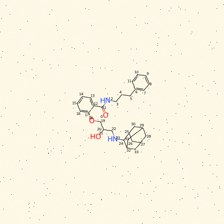 O=C(NCCCc1ccccc1)c1ccccc1OCC(O)CNC1C2CC3CC(C2)CC1C3